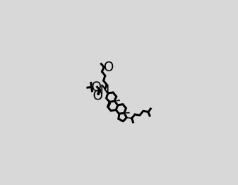 CC(=O)CCCCN(C(=O)OC(C)(C)C)[C@H]1CC[C@@]2(C)C(=CCC3C2CC[C@@]2(C)C3CC[C@@H]2C(C)CCCC(C)C)C1